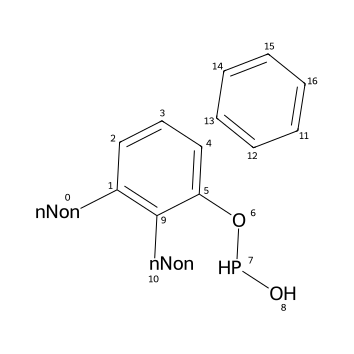 CCCCCCCCCc1cccc(OPO)c1CCCCCCCCC.c1ccccc1